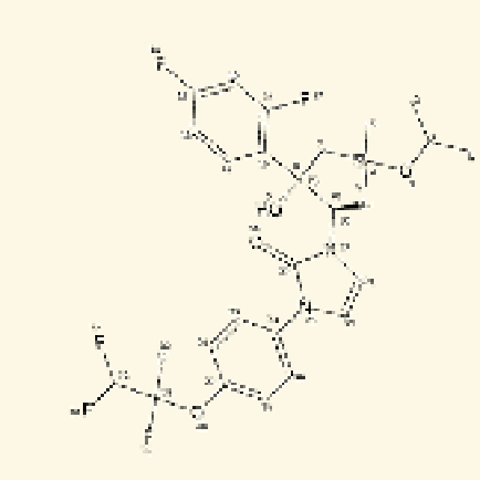 CC(C)O[Si](C)(C)C[C@](O)(c1ccc(F)cc1F)[C@@H](C)n1ccn(-c2ccc(OC(F)(F)C(F)F)cc2)c1=O